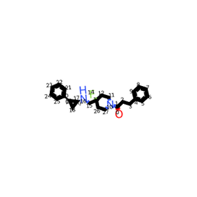 O=C(CCc1ccccc1)N1CCC(F)(CN[C@@H]2C[C@H]2c2ccccc2)CC1